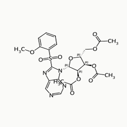 COc1ccccc1S(=O)(=O)c1nc2cncnc2n1[C@@H]1O[C@H](COC(C)=O)[C@@H](OC(C)=O)[C@H]1OC(C)=O